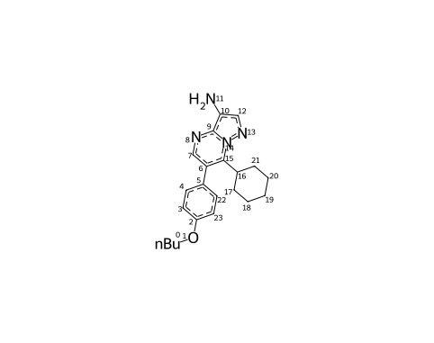 CCCCOc1ccc(-c2cnc3c(N)cnn3c2C2CCCCC2)cc1